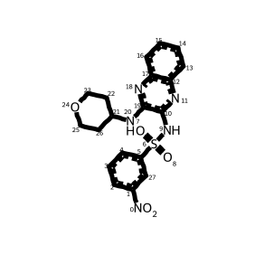 O=[N+]([O-])c1cccc(S(=O)(=O)Nc2nc3ccccc3nc2NC2CCOCC2)c1